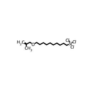 C=C(C)COCCCCCCCCCC[Si](Cl)(Cl)Cl